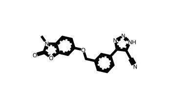 Cn1c(=O)oc2cc(OCc3cccc(-c4nn[nH]c4C#N)c3)ccc21